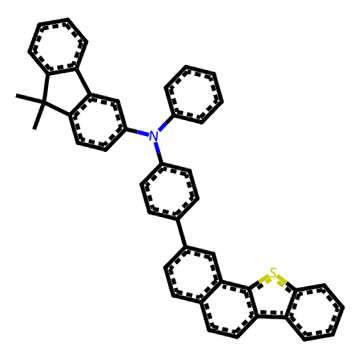 CC1(C)c2ccccc2-c2cc(N(c3ccccc3)c3ccc(-c4ccc5ccc6c7ccccc7sc6c5c4)cc3)ccc21